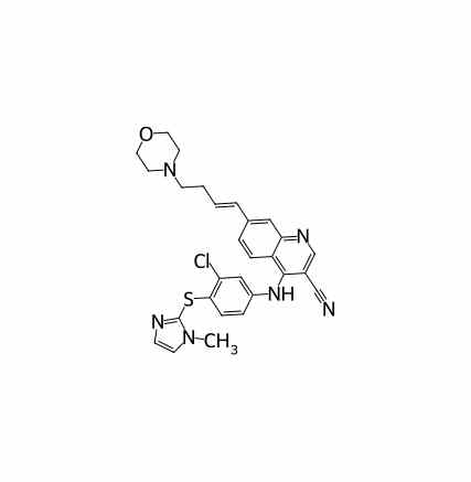 Cn1ccnc1Sc1ccc(Nc2c(C#N)cnc3cc(/C=C/CCN4CCOCC4)ccc23)cc1Cl